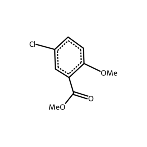 COC(=O)c1cc(Cl)ccc1OC